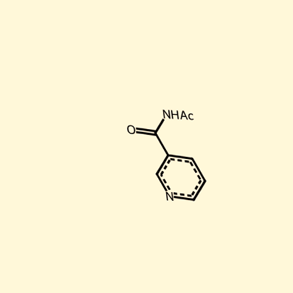 CC(=O)NC(=O)c1cccnc1